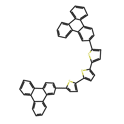 c1ccc2c(c1)c1ccccc1c1cc(-c3ccc(-c4ccc(-c5ccc(-c6ccc7c8ccccc8c8ccccc8c7c6)s5)s4)s3)ccc21